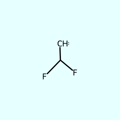 [CH]C(F)F